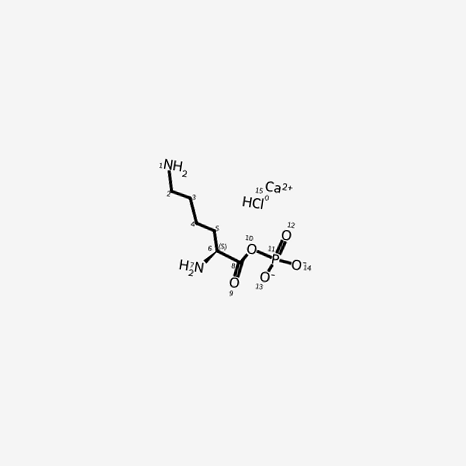 Cl.NCCCC[C@H](N)C(=O)OP(=O)([O-])[O-].[Ca+2]